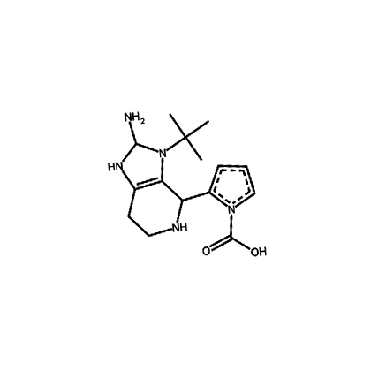 CC(C)(C)N1C2=C(CCNC2c2cccn2C(=O)O)NC1N